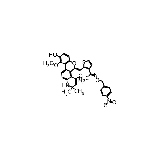 COc1c(O)ccc2c1-c1ccc3c(c1/C(=C/c1sccc1/C(C)=N/OCc1ccc([N+](=O)[O-])cc1)O2)C(C)=CC(C)(C)N3